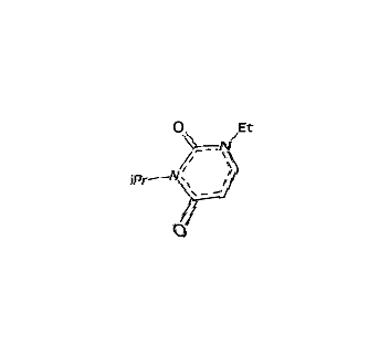 CCn1ccc(=O)n(C(C)C)c1=O